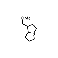 COCC1CCN2CCCC12